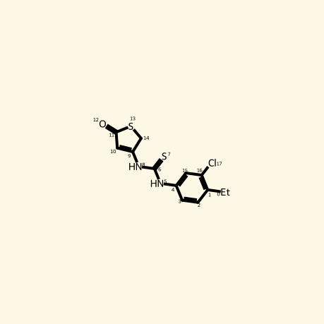 CCc1ccc(NC(=S)NC2=CC(=O)SC2)cc1Cl